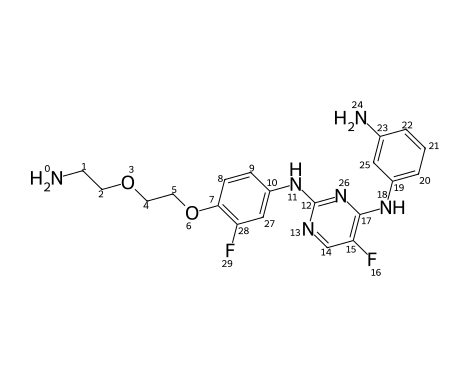 NCCOCCOc1ccc(Nc2ncc(F)c(Nc3cccc(N)c3)n2)cc1F